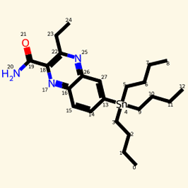 CCC[CH2][Sn]([CH2]CCC)([CH2]CCC)[c]1ccc2nc(C(N)=O)c(CC)nc2c1